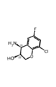 N[C@H]1c2cc(F)cc(Cl)c2OC[C@H]1O